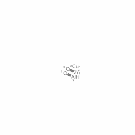 [Cu].[O]=[AlH].[O]=[Zn]